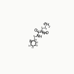 O=NN(CCP)C(=O)NCc1ccccn1